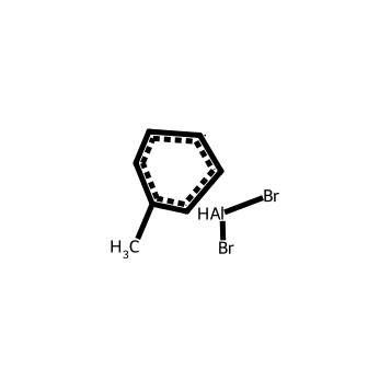 Cc1cc[c]cc1.[Br][AlH][Br]